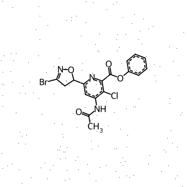 CC(=O)Nc1cc(C2CC(Br)=NO2)nc(C(=O)Oc2ccccc2)c1Cl